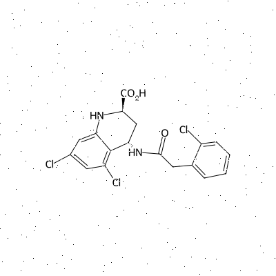 O=C(Cc1ccccc1Cl)N[C@H]1C[C@H](C(=O)O)Nc2cc(Cl)cc(Cl)c21